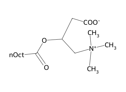 CCCCCCCCC(=O)OC(CC(=O)[O-])C[N+](C)(C)C